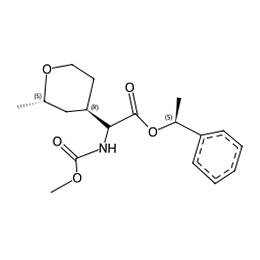 COC(=O)NC(C(=O)O[C@@H](C)c1ccccc1)[C@@H]1CCO[C@@H](C)C1